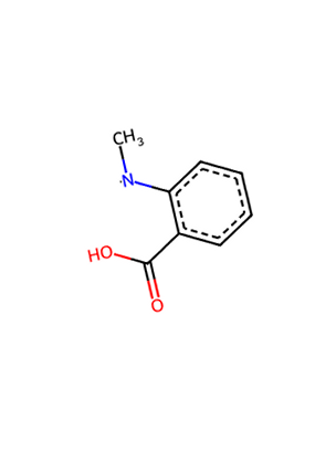 C[N]c1ccccc1C(=O)O